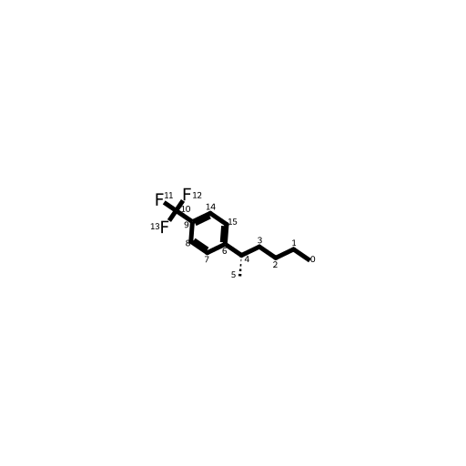 CCCC[C@H](C)c1ccc(C(F)(F)F)cc1